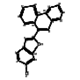 Clc1ccc2cc(-c3cc4ccccc4c4ccccc34)oc2c1